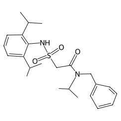 CC(C)c1cccc(C(C)C)c1NS(=O)(=O)CC(=O)N(Cc1ccccc1)C(C)C